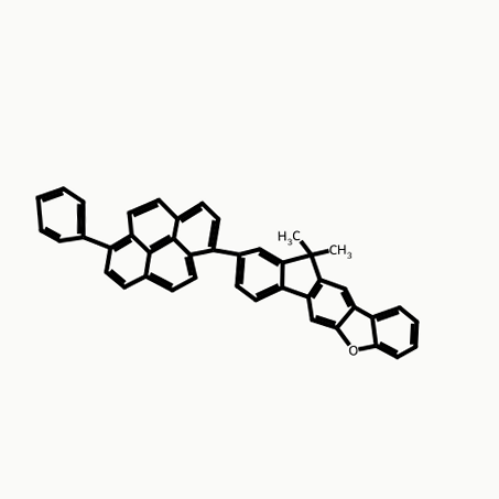 CC1(C)c2cc(-c3ccc4ccc5c(-c6ccccc6)ccc6ccc3c4c65)ccc2-c2cc3oc4ccccc4c3cc21